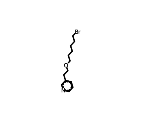 BrCCCCCCOCCc1cccnc1